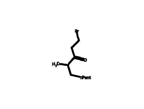 CCCCCCC(C)C(=O)CCBr